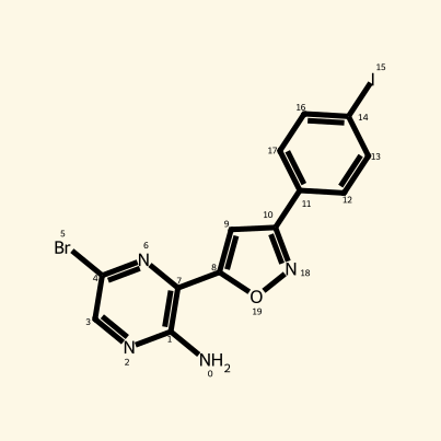 Nc1ncc(Br)nc1-c1cc(-c2ccc(I)cc2)no1